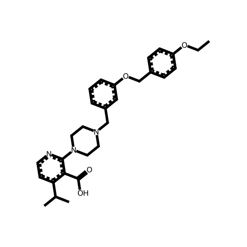 CCOc1ccc(COc2cccc(CN3CCN(c4nccc(C(C)C)c4C(=O)O)CC3)c2)cc1